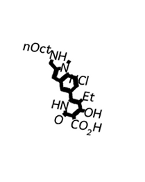 CCCCCCCCNCc1cc2cc(-c3[nH]c(=O)c(C(=O)O)c(O)c3CC)ccc2n1C.Cl